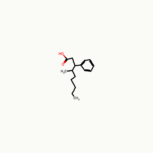 CCCCCC(C)C(CC(=O)O)c1ccccc1